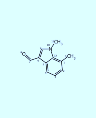 Cc1cccc2c(C=O)cn(C)c12